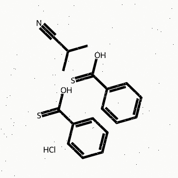 CC(C)C#N.Cl.OC(=S)c1ccccc1.OC(=S)c1ccccc1